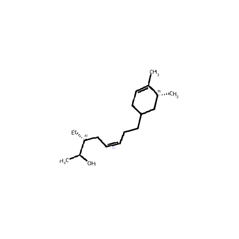 CC[C@H](C/C=C\CCC1CC=C(C)[C@H](C)C1)C(C)O